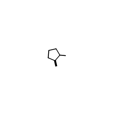 [CH2]C(=O)C1CCCC1=O